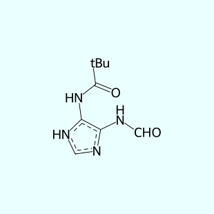 CC(C)(C)C(=O)Nc1[nH]cnc1NC=O